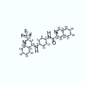 O=C(Nc1ccc(Nc2cc(C(F)(F)F)nc3ccccc23)cc1)c1cc2ccccc2cn1